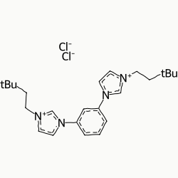 CC(C)(C)CC[n+]1ccn(-c2cccc(-n3cc[n+](CCC(C)(C)C)c3)c2)c1.[Cl-].[Cl-]